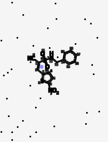 N#C/C(=C/c1ccc([N+](=O)[O-])s1)S(=O)(=O)NCc1ccccc1